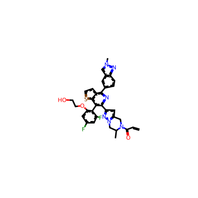 C=CC(=O)N1Cc2cc(-c3nc(-c4ccc5nn(C)cc5c4)c4ccsc4c3-c3c(F)cc(F)cc3OCCO)nn2CC1C